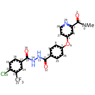 CNC(=O)c1cc(Oc2ccc(C(=O)NNC(=O)c3ccc(Cl)c(C(F)(F)F)c3)cc2)ccn1